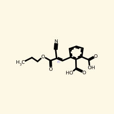 CCCOC(=O)/C(C#N)=C/c1cccc(C(=O)O)c1C(=O)O